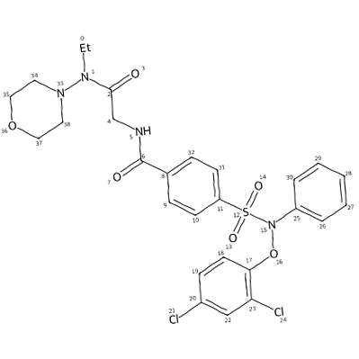 CCN(C(=O)CNC(=O)c1ccc(S(=O)(=O)N(Oc2ccc(Cl)cc2Cl)c2ccccc2)cc1)N1CCOCC1